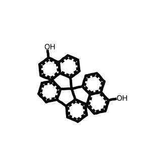 Oc1cccc2c(C3(c4cccc5c(O)cccc45)c4ccccc4-c4ccccc43)cccc12